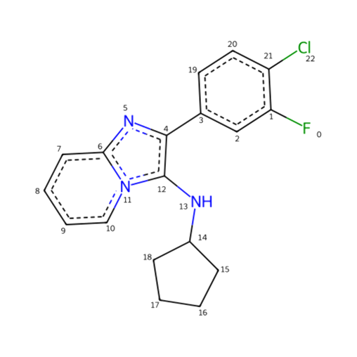 Fc1cc(-c2nc3ccccn3c2NC2CCCC2)ccc1Cl